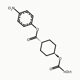 CCCCCCCCC(=O)O[C@H]1CC[C@H](C(=O)Oc2ccc([N+](=O)[O-])cc2)CC1